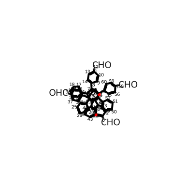 O=Cc1ccc([C]23[CH]4[C]5(c6ccc(C=O)cc6)[C]6(c7ccccc7)[C]2(c2ccccc2)[Fe]43562789[CH]3[C]2(c2ccc(C=O)cc2)[C]7(c2ccccc2)[C]8(c2ccccc2)[C]39c2ccc(C=O)cc2)cc1